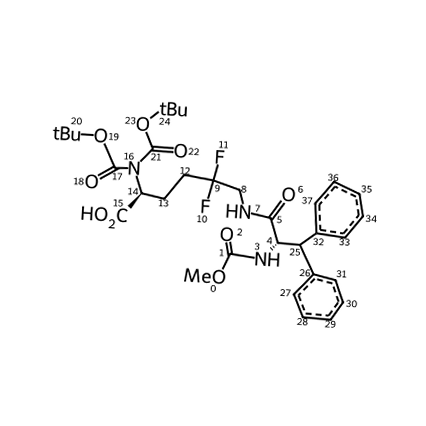 COC(=O)N[C@H](C(=O)NCC(F)(F)CC[C@@H](C(=O)O)N(C(=O)OC(C)(C)C)C(=O)OC(C)(C)C)C(c1ccccc1)c1ccccc1